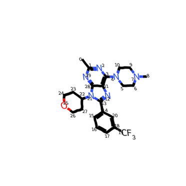 Cc1nc(N2CCN(C)CC2)c2nc(-c3cccc(C(F)(F)F)c3)n(C3CCOCC3)c2n1